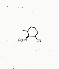 CC1CCCC(C#N)C1=NO